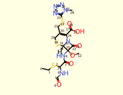 CCSC(NC=O)C(=O)N[C@]1(OC)C(=O)N2C(C(=O)O)=C(CSc3nnnn3C)CS[C@H]21